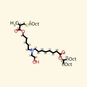 CCCCCCCCSCC(C)C(=O)OCCCCCN(CCO)CCCCCCCC(=O)OC(CCCCCCCC)CCCCCCCC